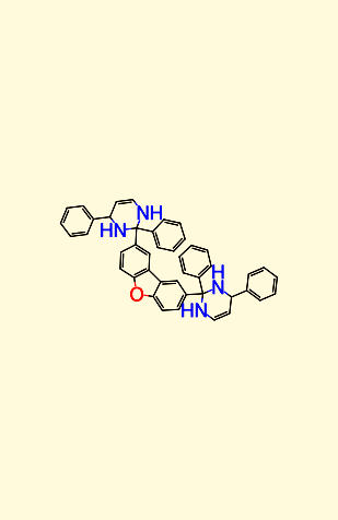 C1=CC(c2ccccc2)NC(c2ccccc2)(c2ccc3oc4ccc(C5(c6ccccc6)NC=CC(c6ccccc6)N5)cc4c3c2)N1